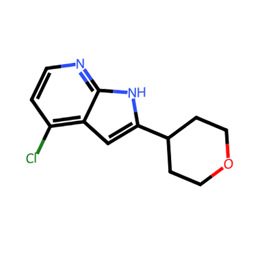 Clc1ccnc2[nH]c(C3CCOCC3)cc12